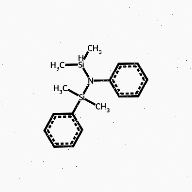 C[SiH](C)N(c1ccccc1)[Si](C)(C)c1ccccc1